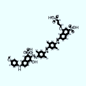 COc1ccc(Nc2ccc3c(O)c(N=Nc4cc(C)c(N=Nc5cc(C)c(N=Nc6ccc7cc(S(=O)(=O)O)cc(OCCCS(=O)(=O)O)c7c6)cc5C)cc4C)c(S(=O)(=O)O)cc3c2)cc1